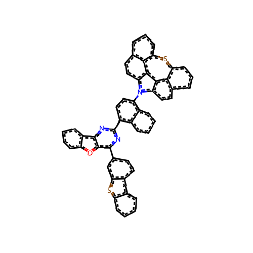 c1ccc2c(c1)oc1c(-c3ccc4c(c3)sc3ccccc34)nc(-c3ccc(-n4c5ccc6cccc7sc8cccc9ccc4c(c98)c5c67)c4ccccc34)nc12